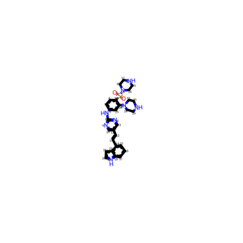 O=S(=O)(c1ccc(Nc2ncc(C=Cc3cccc4[nH]ccc34)cn2)cc1N1CCNCC1)N1CCNCC1